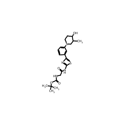 CC1CN(c2cccc(-c3csc(NC(=O)CNC(=O)OC(C)(C)C)n3)c2)CCC1O